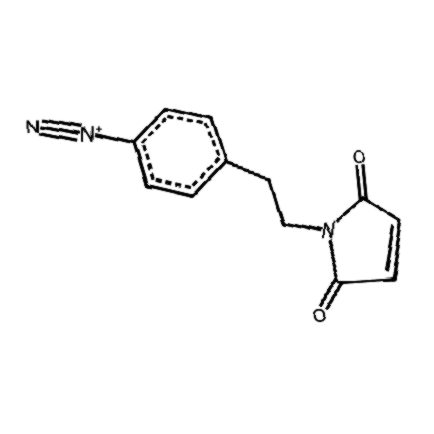 N#[N+]c1ccc(CCN2C(=O)C=CC2=O)cc1